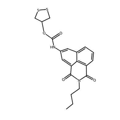 CCCCN1C(=O)c2cccc3cc(NC(=O)OC4CSSC4)cc(c23)C1=O